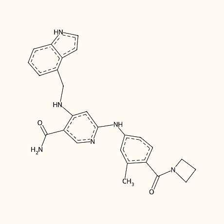 Cc1cc(Nc2cc(NCc3cccc4[nH]ccc34)c(C(N)=O)cn2)ccc1C(=O)N1CCC1